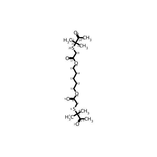 CC(=O)C(C)(C)SCC(=O)OCCCCCOC(=O)CSC(C)(C)C(C)=O